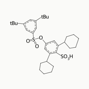 CC(C)(C)c1cc(C(C)(C)C)cc(S(=O)(=O)Oc2cc(C3CCCCC3)c(S(=O)(=O)O)c(C3CCCCC3)c2)c1